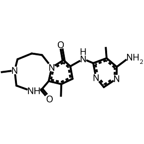 Cc1cc(Nc2ncnc(N)c2C)c(=O)n2c1C(=O)NCN(C)CCC2